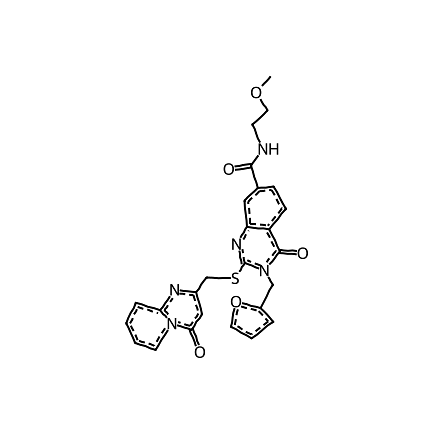 COCCNC(=O)c1ccc2c(=O)n(Cc3ccco3)c(SCc3cc(=O)n4ccccc4n3)nc2c1